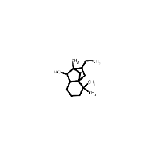 CCC1CC23CC1(C)C(O)C2CCCC3(C)C